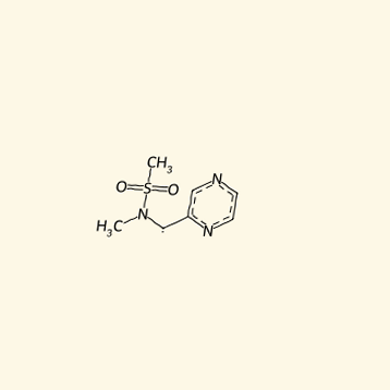 CN([CH]c1cnccn1)S(C)(=O)=O